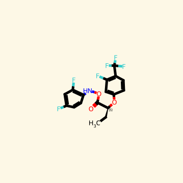 CC[C@H](Oc1ccc(C(F)(F)F)c(F)c1)C(=O)ONc1ccc(F)cc1F